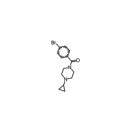 O=C(c1ccc(Br)cc1)N1CCN(C2CC2)CC1